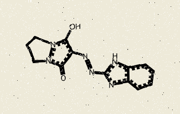 O=c1c(N=Nc2nc3ccccc3[nH]2)c(O)n2n1CCC2